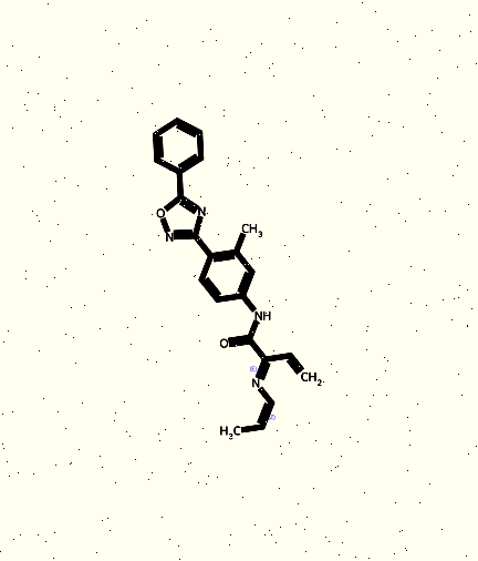 C=C/C(=N\C=C/C)C(=O)Nc1ccc(-c2noc(-c3ccccc3)n2)c(C)c1